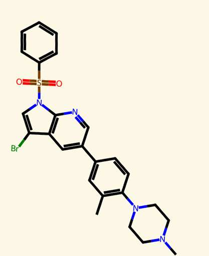 Cc1cc(-c2cnc3c(c2)c(Br)cn3S(=O)(=O)c2ccccc2)ccc1N1CCN(C)CC1